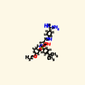 COc1ccc(CN(CC(O)CNc2ccc(C(=N)N)cc2)S(=O)(=O)c2ccc(C(C)C)cc2)cc1